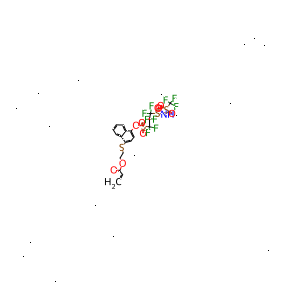 C=CC(=O)OCCSc1ccc(OS(=O)(=O)C(F)(F)C(F)(F)C(F)(F)S(=O)(=O)NS(=O)(=O)C(F)(F)F)c2ccccc12